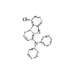 Clc1cccc2sc3c(N(c4ccccc4)c4ccccc4)cccc3c12